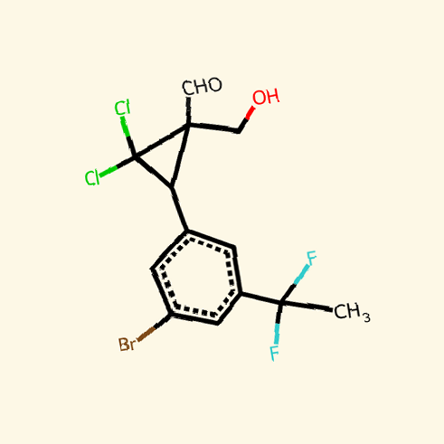 CC(F)(F)c1cc(Br)cc(C2C(Cl)(Cl)C2(C=O)CO)c1